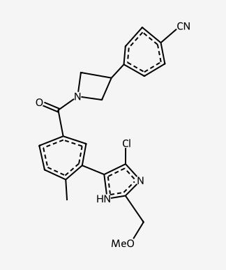 COCc1nc(Cl)c(-c2cc(C(=O)N3CC(c4ccc(C#N)cc4)C3)ccc2C)[nH]1